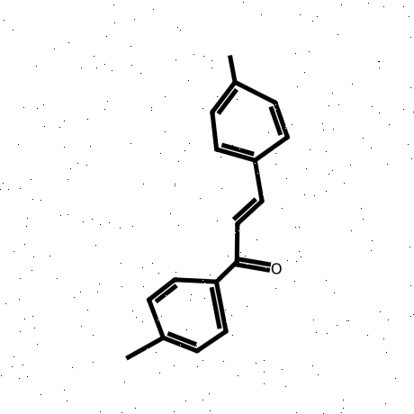 Cc1ccc(C=CC(=O)c2ccc(C)cc2)cc1